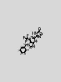 O=c1[nH]c(-c2nc(C(F)(F)F)c3c(ncn3Cc3ccccc3)n2)no1